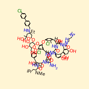 CCC1(NCc2ccc(-c3ccc(Cl)cc3)cc2)C[C@H](OC2[C@@H](Oc3c4cc5cc3Oc3ccc(cc3Cl)[C@@H](O)[C@@H](NC(=O)[C@@H](CC(C)C)NC)C(=O)N[C@@H](CC(N)=O)C(=O)N[C@H]5C(=O)NC3C(=O)N[C@H](C(=O)N[C@H](C(=O)NCCC[N+](C)(C)C)C5=CC(O)CC(O)=C5C5CC3=CC=C5O)[C@H](O)C3=CC=C(O4)C(Cl)C3C)OC(CO)C(O)[C@@H]2O)OC(C)(CO)C1